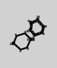 C1COCCN1.c1cnnnc1